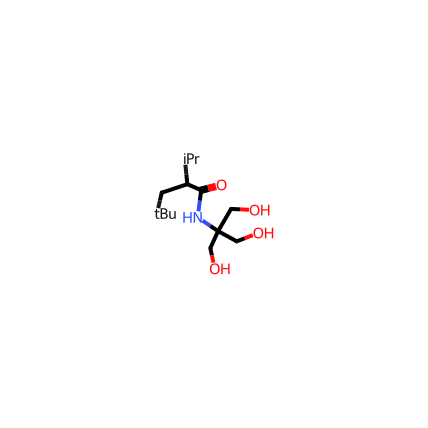 CC(C)C(CC(C)(C)C)C(=O)NC(CO)(CO)CO